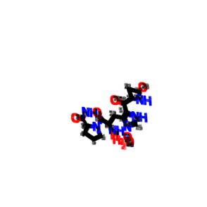 NC(=O)[C@@H]1CCCN1C(=O)[C@@H](N)Cc1nc[nH]c1C(=O)C1CC(=O)N1.O.O